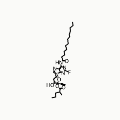 C#C[C@]1(OC(=O)C(C)CCC)O[C@@H](n2cnc3c(NC(=O)CCCCCCCCCCCCC)nc(F)nc32)C[C@@H]1O